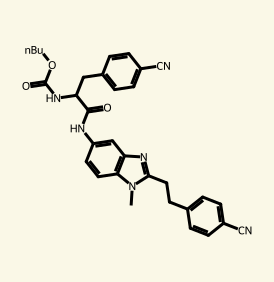 CCCCOC(=O)NC(Cc1ccc(C#N)cc1)C(=O)Nc1ccc2c(c1)nc(CCc1ccc(C#N)cc1)n2C